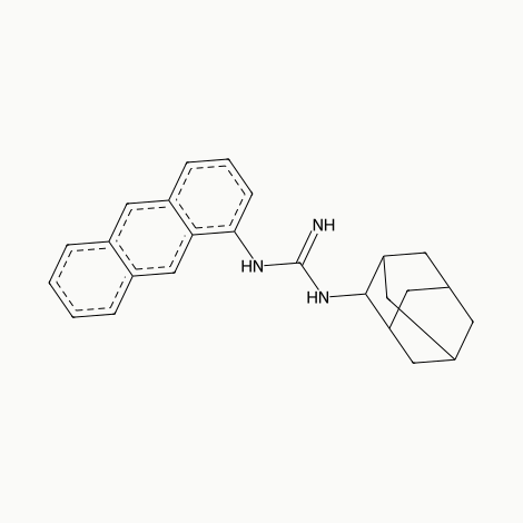 N=C(Nc1cccc2cc3ccccc3cc12)NC1C2CC3CC(C2)CC1C3